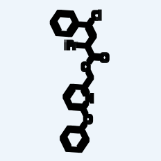 CC(C)C(/C=C(/Cl)c1ccccc1)C(=O)OCc1cccc(Oc2ccccc2)n1